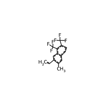 C=Cc1cc2c(C(F)(F)F)c(C(F)(F)F)ccc2cc1C